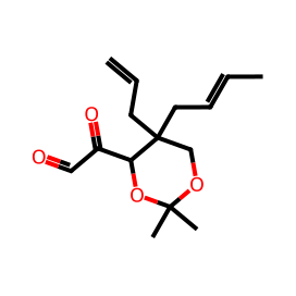 C=CCC1(C/C=C/C)COC(C)(C)OC1C(=O)C=O